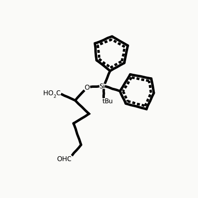 CC(C)(C)[Si](OC(CCCC=O)C(=O)O)(c1ccccc1)c1ccccc1